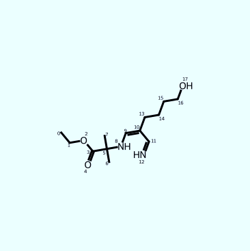 CCOC(=O)C(C)(C)N/C=C(\C=N)CCCCO